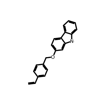 C=Cc1ccc(COc2ccc3c(c2)[N]c2ccccc2-3)cc1